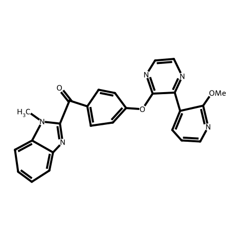 COc1ncccc1-c1nccnc1Oc1ccc(C(=O)c2nc3ccccc3n2C)cc1